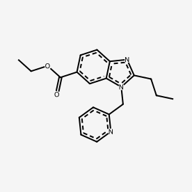 CCCc1nc2ccc(C(=O)OCC)cc2n1Cc1ccccn1